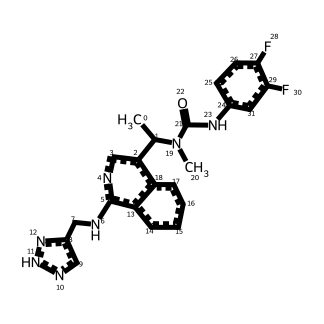 CC(c1cnc(NCc2cn[nH]n2)c2ccccc12)N(C)C(=O)Nc1ccc(F)c(F)c1